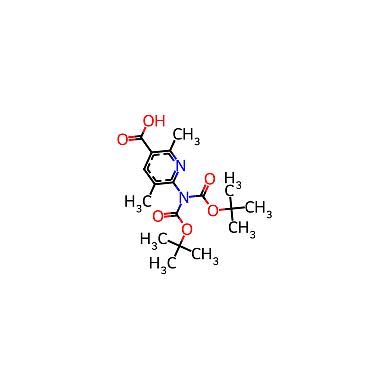 Cc1cc(C(=O)O)c(C)nc1N(C(=O)OC(C)(C)C)C(=O)OC(C)(C)C